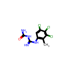 Cc1c(NC(=N)NC(N)=O)cc(Cl)c(Cl)c1Cl